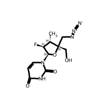 C[C@H]1[C@H](F)[C@H](n2ccc(=O)[nH]c2=O)O[C@@]1(CO)CN=[N+]=[N-]